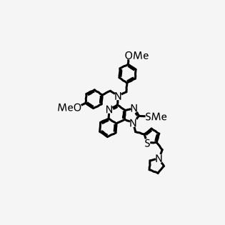 COc1ccc(CN(Cc2ccc(OC)cc2)c2nc3ccccc3c3c2nc(SC)n3Cc2ccc(CN3CCCC3)s2)cc1